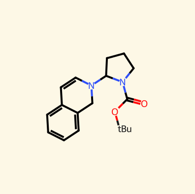 CC(C)(C)OC(=O)N1CCCC1N1C=Cc2ccccc2C1